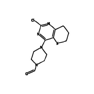 O=CN1CCN(c2nc(Cl)nc3c2SCCC3)CC1